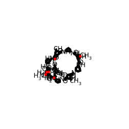 C=CC(=O)NCC1(CNC(=O)C=C)COCCOc2c3cc(C)cc2C(=O)Nc2cccc(c2)NC(=O)c2cc(C)cc(c2O)C(=O)Nc2cccc(c2)NC(=O)c2cc(C)cc(c2OCCOC1)C(=O)Nc1cccc(c1)NC(=O)c1cc(C)cc(c1O)C(=O)Nc1cccc(c1)NC3=O